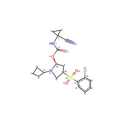 N#CC1(NC(=O)O[C@H]2C[C@@H](S(=O)(=O)c3ccccc3Cl)CN2C2CCC2)CC1